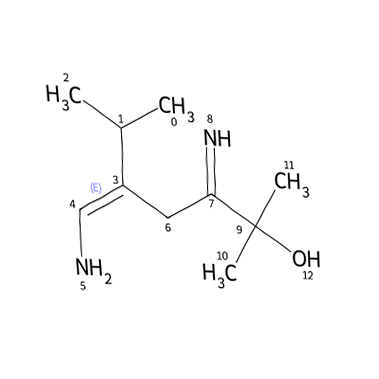 CC(C)/C(=C/N)CC(=N)C(C)(C)O